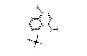 CCOc1cc[n+](CC)c2ccccc12.F[B-](F)(F)F